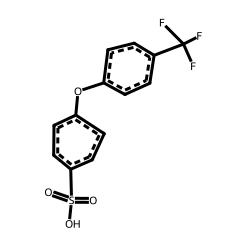 O=S(=O)(O)c1ccc(Oc2ccc(C(F)(F)F)cc2)cc1